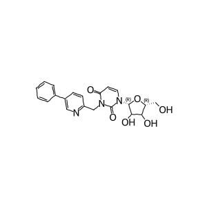 O=c1ccn([C@@H]2O[C@H](CO)C(O)C2O)c(=O)n1Cc1ccc(-c2ccccc2)cn1